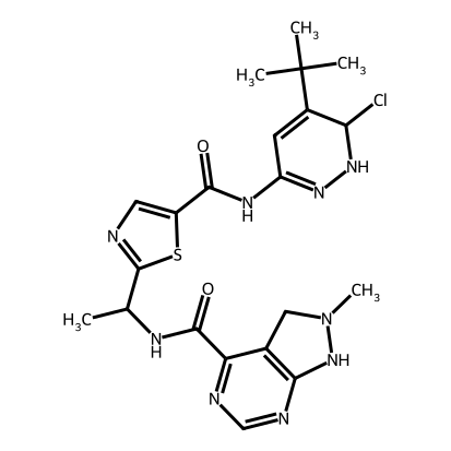 CC(NC(=O)c1ncnc2c1CN(C)N2)c1ncc(C(=O)NC2=NNC(Cl)C(C(C)(C)C)=C2)s1